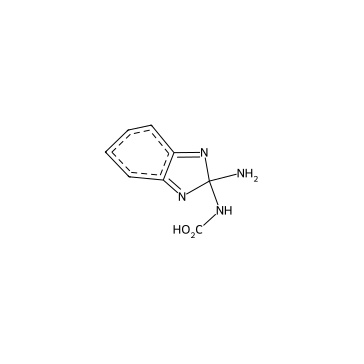 NC1(NC(=O)O)N=c2ccccc2=N1